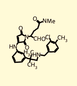 CNC(=O)CCC(C=O)N1C(=O)C=C(Nc2cccc(C(C)(C)CNCc3ccc(C)c(Cl)c3)c2)C1=O